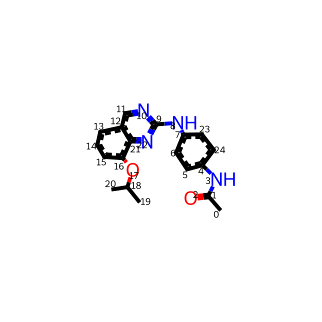 CC(=O)Nc1ccc(Nc2ncc3cccc(OC(C)C)c3n2)cc1